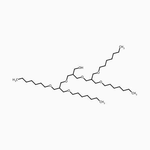 CCCCCCCOCC(COCCCCCCC)COCC(CO)COCC(COCCCCCCC)COCCCCCCC